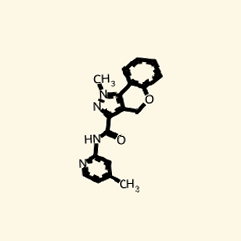 Cc1ccnc(NC(=O)c2nn(C)c3c2COc2ccccc2-3)c1